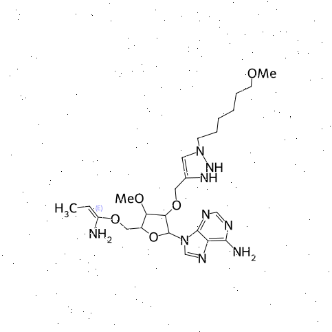 C/C=C(\N)OCC1OC(n2cnc3c(N)ncnc32)C(OCC2=CN(CCCCCCOC)NN2)C1OC